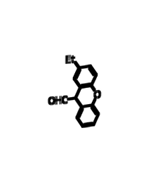 CCc1ccc2c(c1)C(C=O)c1ccccc1O2